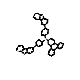 C1=Cc2c(sc3ccc(-c4ccc(N(c5ccc(-c6ccc7sc8ccccc8c7c6)cc5)C5C=Cc6c(c7ccccc7c7ccccc67)C5)cc4)cc23)CC1